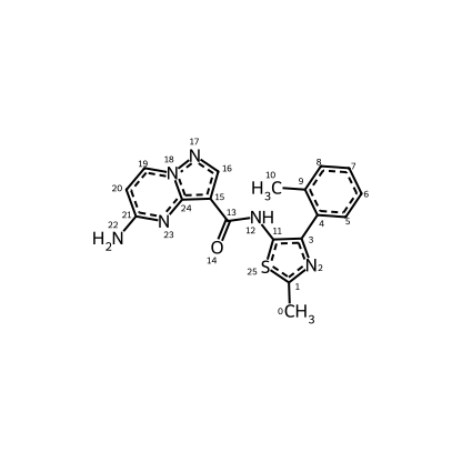 Cc1nc(-c2ccccc2C)c(NC(=O)c2cnn3ccc(N)nc23)s1